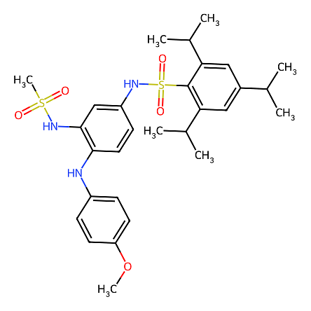 COc1ccc(Nc2ccc(NS(=O)(=O)c3c(C(C)C)cc(C(C)C)cc3C(C)C)cc2NS(C)(=O)=O)cc1